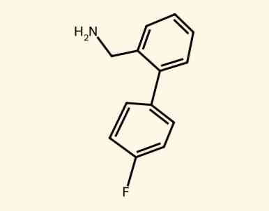 NCc1ccccc1-c1ccc(F)cc1